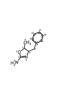 CC1OC(N)=NC1Cc1ccccc1